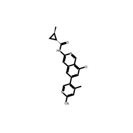 Cc1cc(C#N)ncc1-c1cc(Cl)c2cnc(NC(=O)[C@@H]3C[C@H]3C)cc2c1